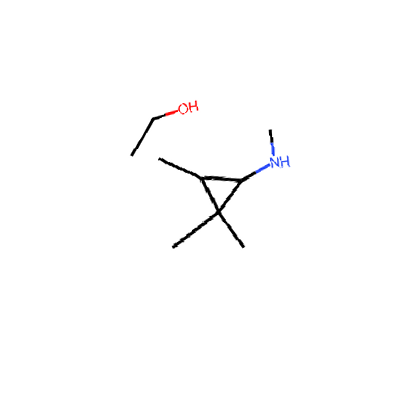 CCO.CNC1C(C)C1(C)C